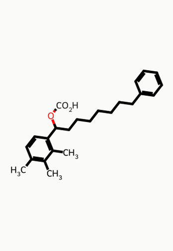 Cc1ccc(C(CCCCCCCc2ccccc2)OC(=O)O)c(C)c1C